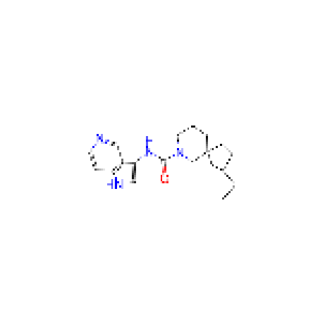 CCC1CCC2(CCCN(C(=O)Nc3c[nH]c4ccncc34)C2)C1